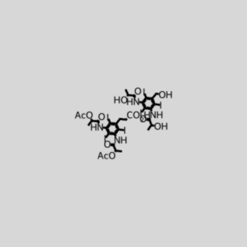 CC(=O)OC(C)C(=O)Nc1c(I)c(CCC(=O)O)c(I)c(NC(=O)C(C)OC(C)=O)c1I.CC(O)C(=O)Nc1c(I)c(CO)c(I)c(NC(=O)C(C)O)c1I